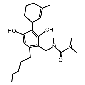 CCCCCc1cc(O)c(C2C=C(C)CCC2)c(O)c1CN(C)C(=O)N(C)C